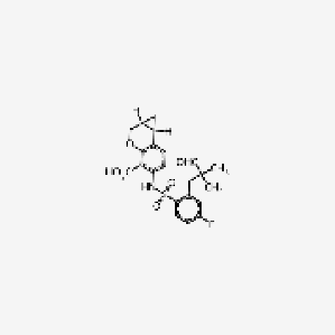 CC(C)(C=O)Cc1cc(F)ccc1S(=O)(=O)Nc1ccc2c(c1C(=O)O)OC[C@@H]1C[C@H]21